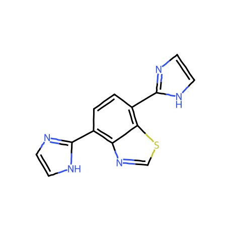 c1c[nH]c(-c2ccc(-c3ncc[nH]3)c3scnc23)n1